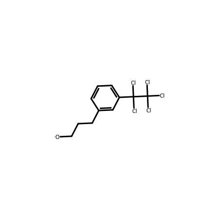 [O]CCCc1cccc(C(Cl)(Cl)C(Cl)(Cl)Cl)c1